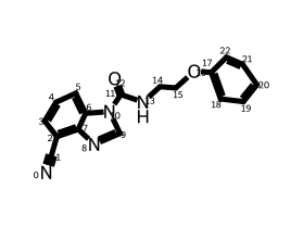 N#Cc1cccc2c1ncn2C(=O)NCCOc1ccccc1